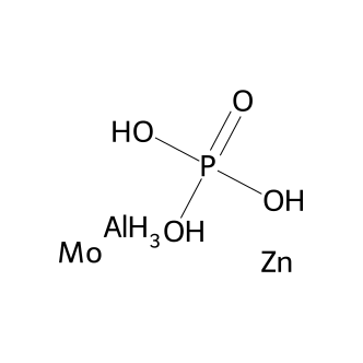 O=P(O)(O)O.[AlH3].[Mo].[Zn]